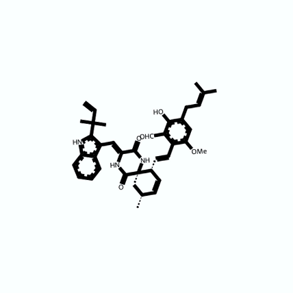 C=CC(C)(C)c1[nH]c2ccccc2c1/C=C1\NC(=O)[C@@]2(C[C@@H](C)C=C[C@H]2/C=C/c2c(OC)cc(CC=C(C)C)c(O)c2C=O)NC1=O